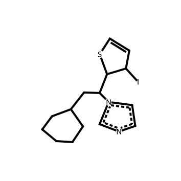 IC1C=CSC1C(CC1CCCCC1)n1ccnc1